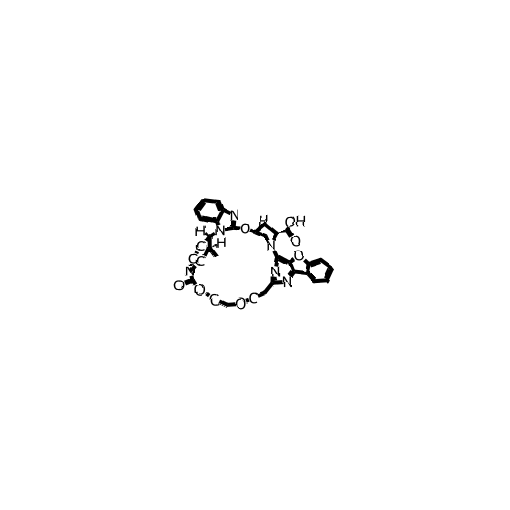 C[C@H]1CN2CC[C@@H]1n1c(nc3ccccc31)O[C@H]1C[C@@H](C(=O)O)N(C1)c1nc(nc3c1oc1ccccc13)CCOCCOC2=O